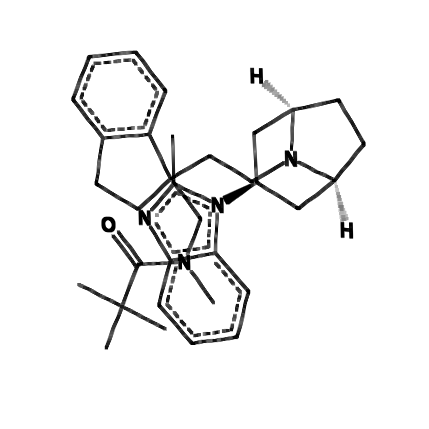 Cc1nc2ccccc2n1[C@H]1C[C@H]2CC[C@@H](C1)N2CCC1(CN(C)C(=O)C(C)(C)C)CCc2ccccc21